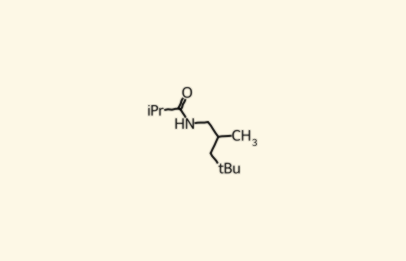 CC(CNC(=O)C(C)C)CC(C)(C)C